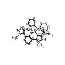 Cc1nnn(C)c1-c1ccnc2c1=NC(C(c1ccccc1)C1CCOCC1)C1=C(C(N)=O)NN(C)C=21